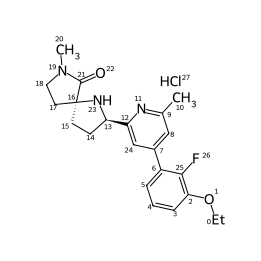 CCOc1cccc(-c2cc(C)nc([C@H]3CC[C@@]4(CCN(C)C4=O)N3)c2)c1F.Cl